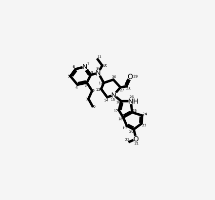 CCCc1cccnc1N(CC)C1CCN(c2cc3cc(OC)ccc3[nH]2)C(C=O)C1